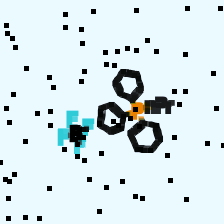 CCC[P+](c1ccccc1)(c1ccccc1)c1ccccc1.F[B-](F)(F)F